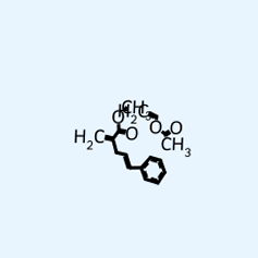 C=C(CC=Cc1ccccc1)C(=O)OC.C=COC(C)=O